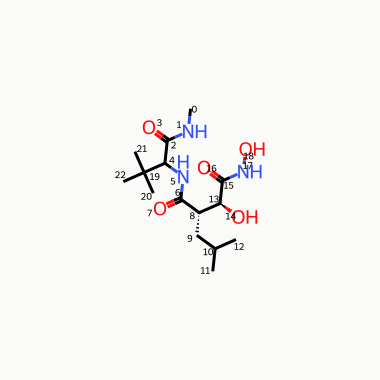 CNC(=O)C(NC(=O)[C@@H](CC(C)C)[C@H](O)C(=O)NO)C(C)(C)C